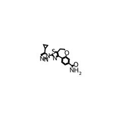 NC(=O)c1ccc2c(c1)OCCc1sc(-n3nncc3C3CC3)nc1-2